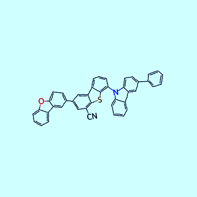 N#Cc1cc(-c2ccc3oc4ccccc4c3c2)cc2c1sc1c(-n3c4ccccc4c4cc(-c5ccccc5)ccc43)cccc12